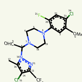 COc1cc(N2CCN(C(C=O)n3nc(C(F)(F)F)c(Cl)c3C)CC2)c(F)cc1Cl